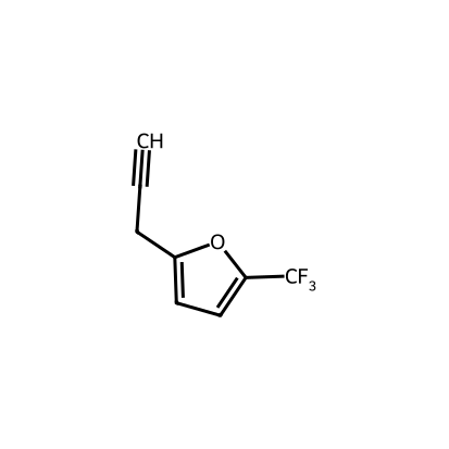 C#CCc1ccc(C(F)(F)F)o1